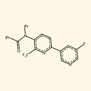 CC(C)C(=O)N(c1ccc(-c2cncc(F)c2)nc1C(F)(F)F)C(C)C